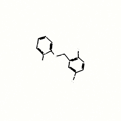 Cc1ccccc1NCc1cc(N)ccc1N